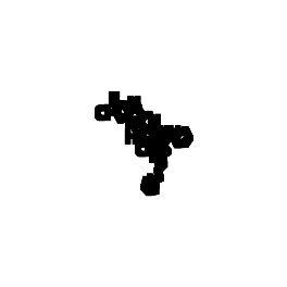 N#Cc1cnc2c(N[C@@H](c3ccccc3)c3cn(CCCN4CCCC4)nn3)cc(Cl)cc2c1Nc1ccc(F)c(Cl)c1